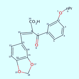 CCCOc1cccc(C(=O)C(=Cc2ccc3c(c2)OCO3)C(=O)O)c1